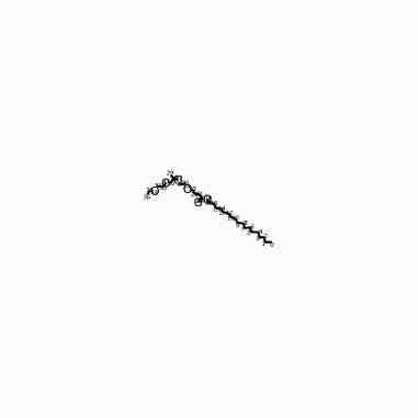 CCCCCCCCCCCCCCCCCCOC(=O)CCCOCCOC(C)COCCOCC